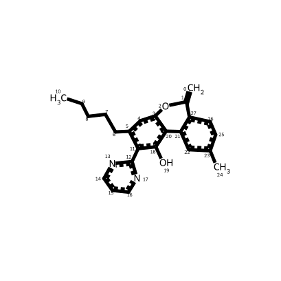 C=C1Oc2cc(CCCCC)c(-c3ncccn3)c(O)c2-c2cc(C)ccc21